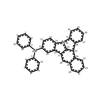 c1ccc(N(c2ccccc2)c2ccc3c(c2)c2cc4ccccc4c4c5ccccc5n3c24)cc1